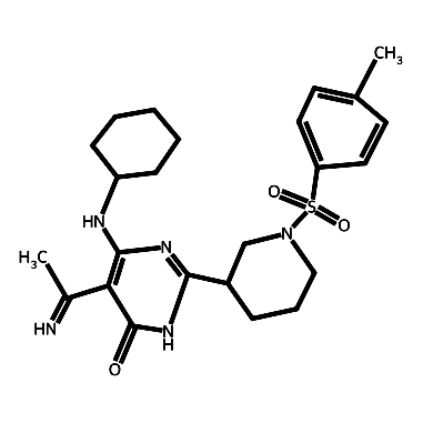 CC(=N)c1c(NC2CCCCC2)nc(C2CCCN(S(=O)(=O)c3ccc(C)cc3)C2)[nH]c1=O